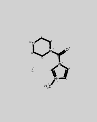 C[n+]1ccn(C(=O)N2CCOCC2)c1.[I-]